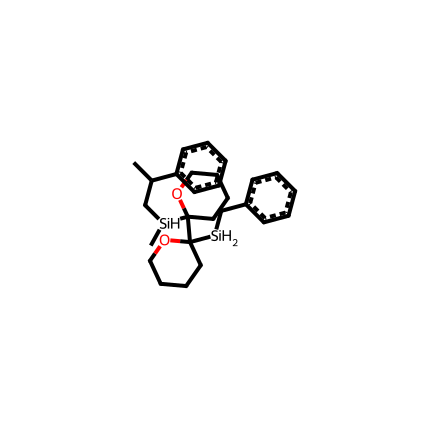 CC(C[SiH](C)C1(C2([SiH2]Cc3ccccc3)CCCCO2)CCCCO1)c1ccccc1